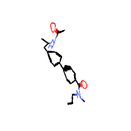 CCCN(C)C(=O)c1ccc(-c2ccc(CC(C)NC(C)=O)cc2)cc1